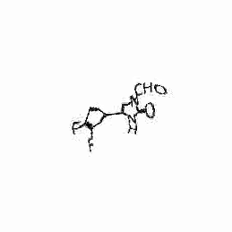 O=CN1CC(c2ccc(F)c(F)c2)NC1=O